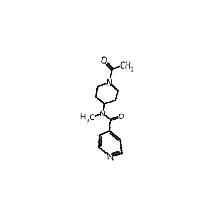 CC(=O)N1CCC(N(C)C(=O)c2[c]cncc2)CC1